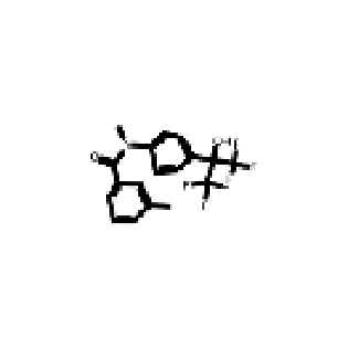 Cc1cccc(C(=O)N(C)c2ccc(C(O)(C(F)(F)F)C(F)(F)F)cc2)c1